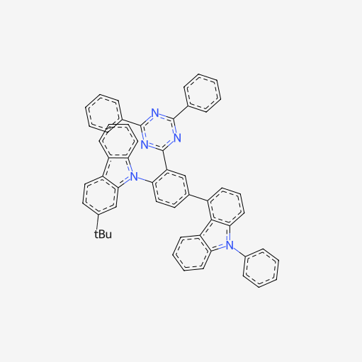 CC(C)(C)c1ccc2c3ccccc3n(-c3ccc(-c4cccc5c4c4ccccc4n5-c4ccccc4)cc3-c3nc(-c4ccccc4)nc(-c4ccccc4)n3)c2c1